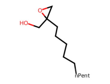 CCCCCCCCCCC1(CO)CO1